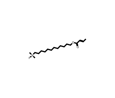 CC=CC(=O)OCCCCCCCCCCCC[Si](C)(C)F